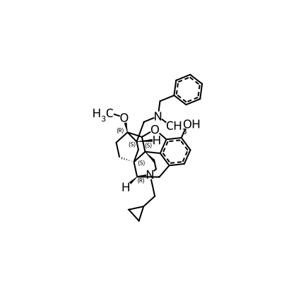 CO[C@]12CC[C@@]3(C[C@H]1CN(C)Cc1ccccc1)[C@H]1Cc4ccc(O)c5c4[C@@]3(CCN1CC1CC1)C2O5